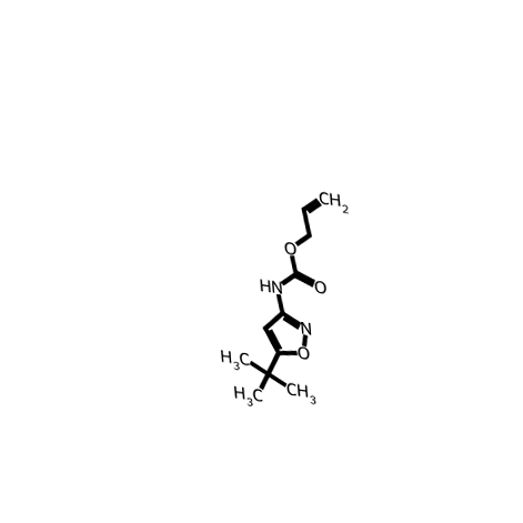 C=CCOC(=O)Nc1cc(C(C)(C)C)on1